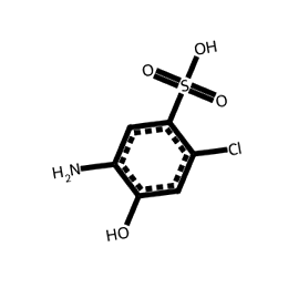 Nc1cc(S(=O)(=O)O)c(Cl)cc1O